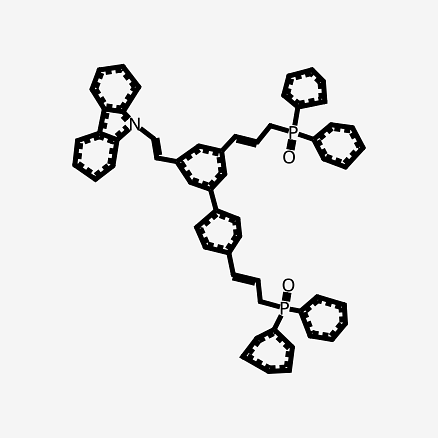 O=P(C/C=C/c1ccc(-c2cc(/C=C/CP(=O)(c3ccccc3)c3ccccc3)cc(/C=C/n3c4ccccc4c4ccccc43)c2)cc1)(c1ccccc1)c1ccccc1